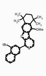 COc1c2c(cc3sc4c(-c5cc(C(C)(C)C)c6ccccc6c5)nccc4c13)C(C)(C)CCC2(C)C